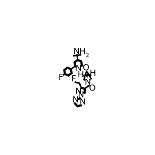 CC(C)(N)c1cc(OC2[C@H]3CN(C(=O)c4cn(-c5ncccn5)nc4CCF)C[C@@H]23)nc(-c2ccc(F)cc2)c1